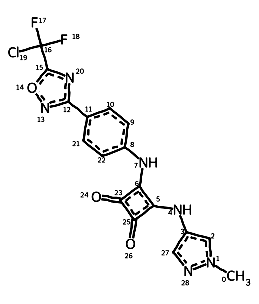 Cn1cc(Nc2c(Nc3ccc(-c4noc(C(F)(F)Cl)n4)cc3)c(=O)c2=O)cn1